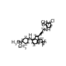 COc1cc(Cl)ccc1NCC#Cc1cc2c(N[C@H]3CC[C@H](N(C)C)CC3)cccc2n1CC(F)(F)F